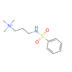 C[N+](C)(C)CCCNS(=O)(=O)c1cc[c]cc1